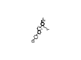 COCOc1cc2nn(C)cc2cc1-c1ncc2cc(N3CCC(N4CCC4)CC3)ccc2n1